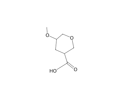 COC1COCC(C(=O)O)C1